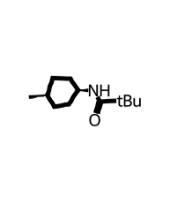 CC(C)(C)C(=O)N[C@H]1CC[C@@H](C)CC1